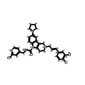 O=C(NCc1ccnc(Cl)c1)n1c2c(c3cc(N4CCCC4)ccc31)CN(CC=Cc1ccc(Cl)c(Cl)c1)CC2